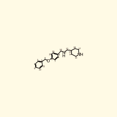 c1ccc(COc2ccc(CNCC3CCNCC3)cc2)cc1